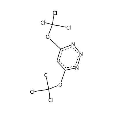 ClC(Cl)(Cl)Oc1cc(OC(Cl)(Cl)Cl)nnn1